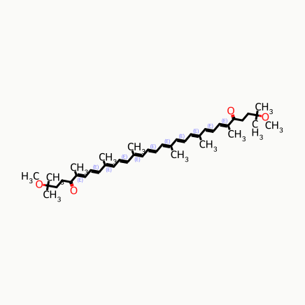 COC(C)(C)CCC(=O)/C(C)=C/C=C/C(C)=C/C=C/C(C)=C/C=C/C=C(C)/C=C/C=C(C)/C=C/C=C(\C)C(=O)CCC(C)(C)OC